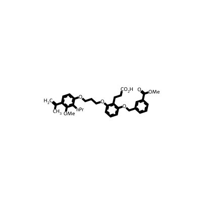 C=C(C)c1ccc(OCCCOc2cccc(OCc3cccc(C(=O)OC)c3)c2CCC(=O)O)c(CCC)c1OC